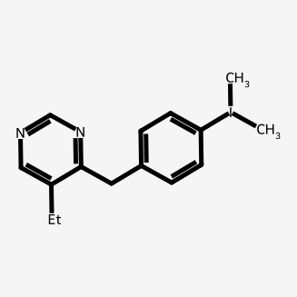 CCc1cncnc1Cc1ccc(I(C)C)cc1